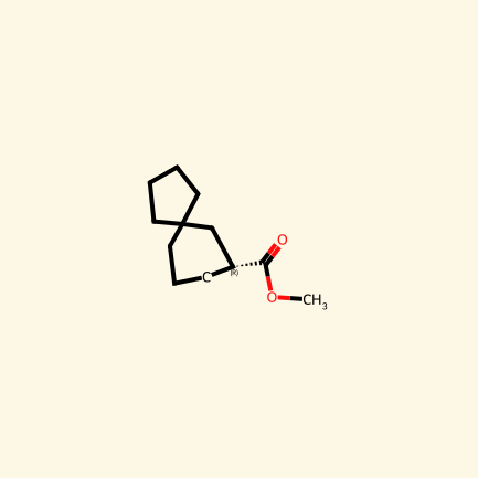 COC(=O)[C@@H]1CCCC2(CCCC2)C1